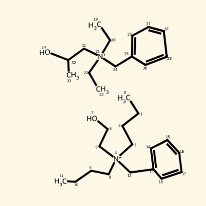 CCCC[N+](CCO)(CCCC)Cc1ccccc1.CC[N+](CC)(Cc1ccccc1)CC(C)O